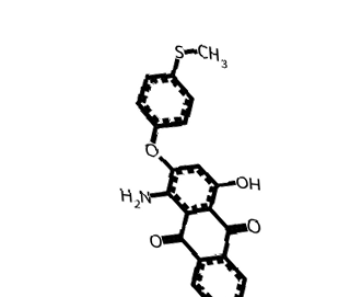 CSc1ccc(Oc2cc(O)c3c(c2N)C(=O)c2ccccc2C3=O)cc1